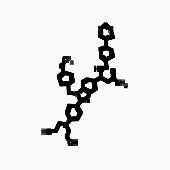 NC(=O)CC(NCc1ccc(-c2cncnc2)cc1)c1ccc2c(c1)nc(-c1ccc(N(CCO)CCO)cc1)n2Cc1ccc(OC(F)(F)F)cc1